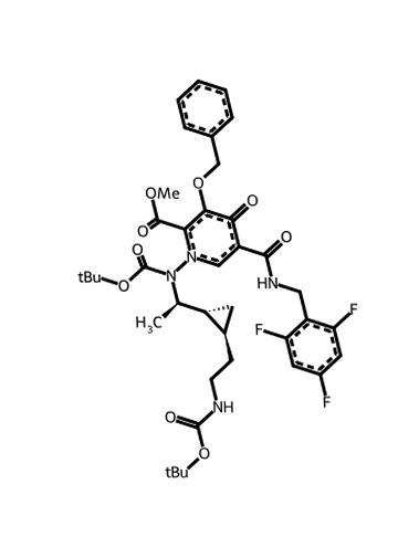 COC(=O)c1c(OCc2ccccc2)c(=O)c(C(=O)NCc2c(F)cc(F)cc2F)cn1N(C(=O)OC(C)(C)C)[C@H](C)[C@@H]1C[C@H]1CCNC(=O)OC(C)(C)C